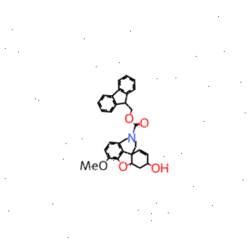 COc1ccc2c3c1OC1CC(O)C=CC31CCN(C(=O)OCC1c3ccccc3-c3ccccc31)C2